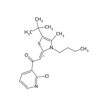 CCCCN1C(C)=C(C(C)(C)C)S/C1=C\C(=O)c1cccnc1Cl